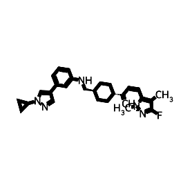 C=C(/C=C\c1c(C)c(F)nn1C)[C@H]1CC[C@H](CNc2cccc(-c3cnn(C4CC4)c3)c2)CC1